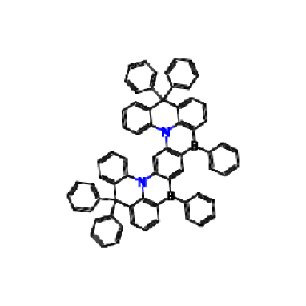 c1ccc(B2c3cc4c(cc3N3c5ccccc5C(c5ccccc5)(c5ccccc5)c5cccc2c53)N2c3ccccc3C(c3ccccc3)(c3ccccc3)c3cccc(c32)B4c2ccccc2)cc1